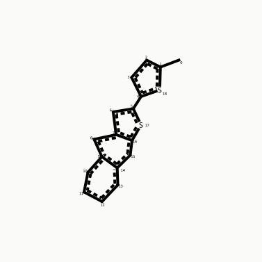 Cc1ccc(-c2cc3cc4ccccc4cc3s2)s1